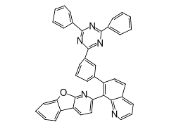 c1ccc(-c2nc(-c3ccccc3)nc(-c3cccc(-c4ccc5cccnc5c4-c4ccc5c(n4)oc4ccccc45)c3)n2)cc1